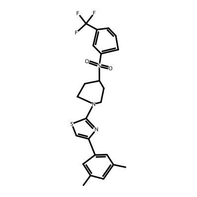 Cc1cc(C)cc(-c2csc(N3CCC(S(=O)(=O)c4cccc(C(F)(F)F)c4)CC3)n2)c1